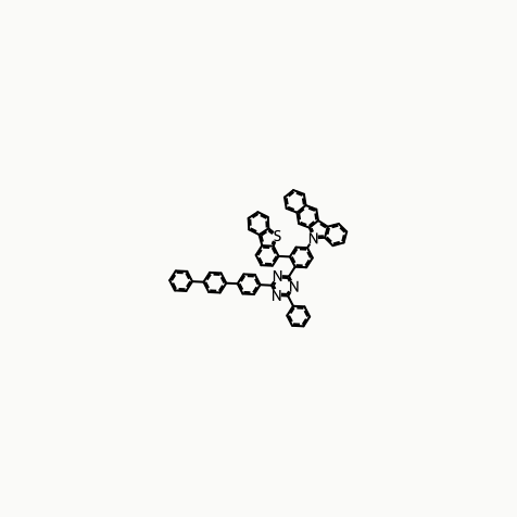 c1ccc(-c2ccc(-c3ccc(-c4nc(-c5ccccc5)nc(-c5ccc(-n6c7ccccc7c7cc8ccccc8cc76)cc5-c5cccc6c5sc5ccccc56)n4)cc3)cc2)cc1